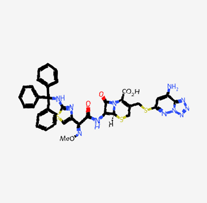 CON=C(C(=O)NC1C(=O)N2C(C(=O)O)=C(CSc3cc(N)c4nnnn4n3)CS[C@@H]12)c1csc(NC(c2ccccc2)(c2ccccc2)c2ccccc2)n1